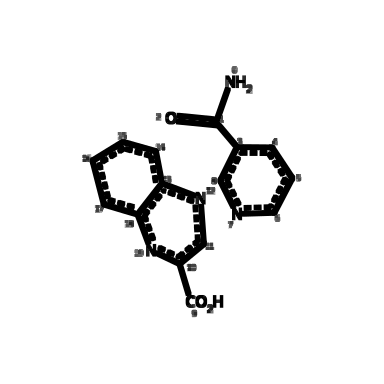 NC(=O)c1cccnc1.O=C(O)c1cnc2ccccc2n1